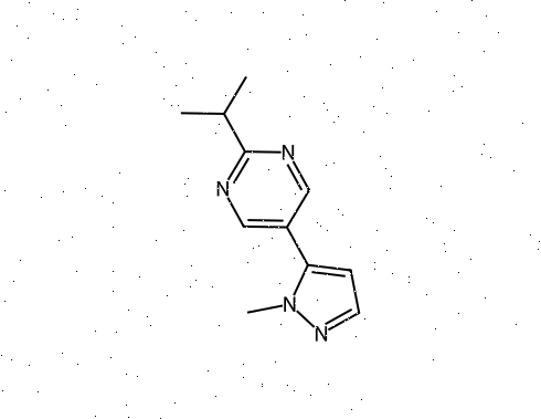 CC(C)c1ncc(-c2ccnn2C)cn1